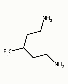 NCCC(CCN)C(F)(F)F